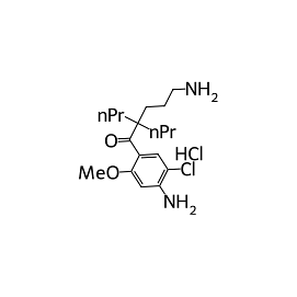 CCCC(CCC)(CCCN)C(=O)c1cc(Cl)c(N)cc1OC.Cl